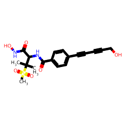 CC(C)(C(NC(=O)c1ccc(C#CC#CCO)cc1)C(=O)NO)S(C)(=O)=O